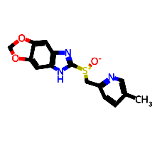 Cc1ccc(C[S+]([O-])c2nc3cc4c(cc3[nH]2)OCO4)nc1